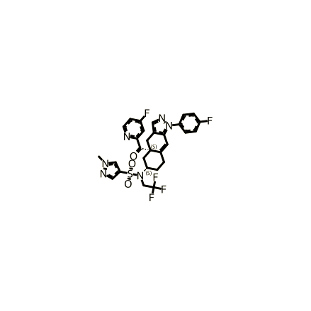 Cn1cc(S(=O)(=O)N(CC(F)(F)F)[C@H]2CCC3=Cc4c(cnn4-c4ccc(F)cc4)C[C@]3(C(=O)c3cc(F)ccn3)C2)cn1